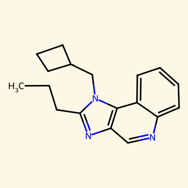 CCCc1nc2cnc3ccccc3c2n1C[C]1CCC1